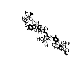 C=CC(=O)N1C[C@@H]2C[C@H]1CN2C(=O)c1cc(Sc2sc(NC(C)O)nc2/C=C/C(=O)N2C[C@@H]3C[C@H]2CN3C(=O)c2cc(Sc3cnc(NC(=O)C4CC4)s3)c(C)cc2OC)c(C)cc1OC